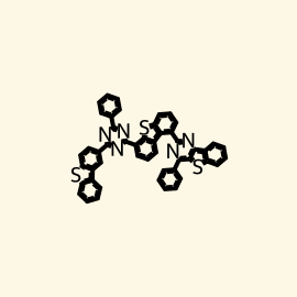 c1ccc(-c2nc(-c3ccc4sc5ccccc5c4c3)nc(-c3cccc4c3sc3cccc(-c5nc(-c6ccccc6)c6sc7ccccc7c6n5)c34)n2)cc1